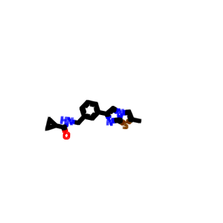 Cc1cn2cc(-c3cccc(CNC(=O)C4CC4)c3)nc2s1